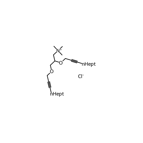 CCCCCCCC#CCOCC(C[N+](C)(C)C)OCC#CCCCCCCC.[Cl-]